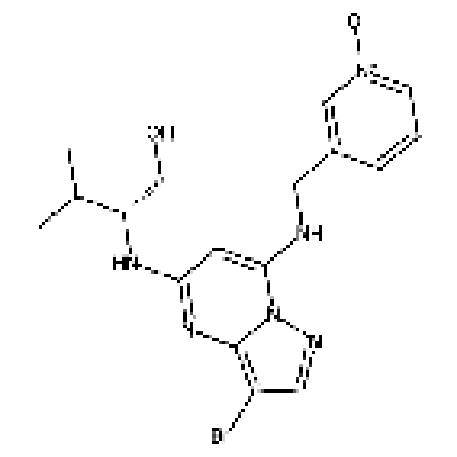 CC(C)[C@H](CO)Nc1cc(NCc2ccc[n+]([O-])c2)n2ncc(Br)c2n1